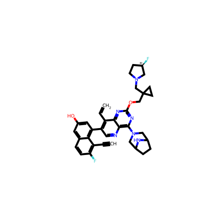 C#Cc1c(F)ccc2cc(O)cc(-c3cnc4c(N5CC6CCC(C5)N6)nc(OCC5(CN6CC[C@@H](F)C6)CC5)nc4c3C=C)c12